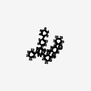 c1ccc(-c2ccc(-c3nc(-c4ccccc4)nc(-c4cccc5nc6cc7oc8ccccc8c7cc6nc45)n3)cc2)cc1